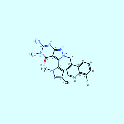 Cn1cc(C#N)cc1-c1c2c(=O)n(C)c(N)nc2nn1Cc1ccnc2c(Cl)cccc12